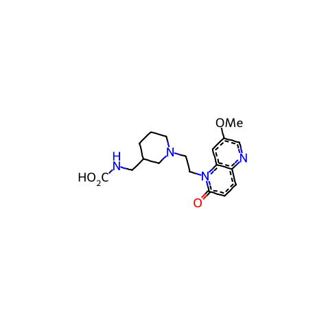 COc1cnc2ccc(=O)n(CCN3CCCC(CNC(=O)O)C3)c2c1